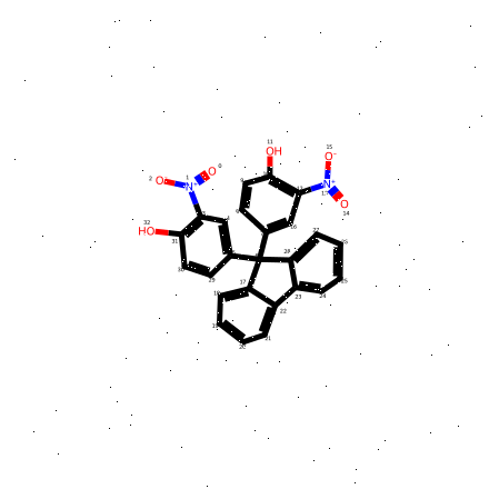 O=[N+]([O-])c1cc(C2(c3ccc(O)c([N+](=O)[O-])c3)c3ccccc3-c3ccccc32)ccc1O